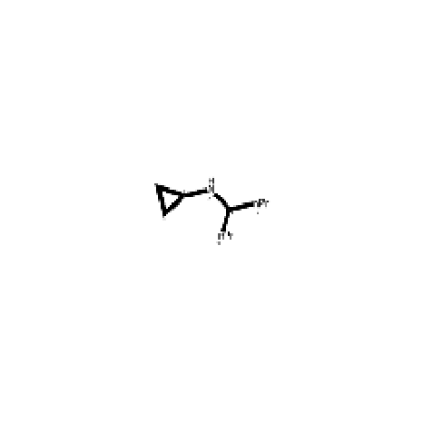 CCCC(CCC)N[C]1CC1